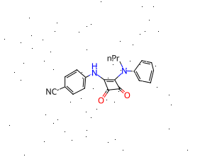 CCCN(c1ccccc1)c1c(Nc2ccc(C#N)cc2)c(=O)c1=O